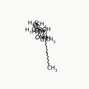 CCCCCCCCC=CCCCCCCC(C)NC(=O)NC1CCCCC1C(CCC(=O)O)NC(=O)C1OC(C)(C)OCC1(C)C